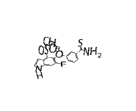 CS(=O)(=O)c1c(Oc2cccc(C(N)=S)c2)c(F)cc2[nH]ccc12